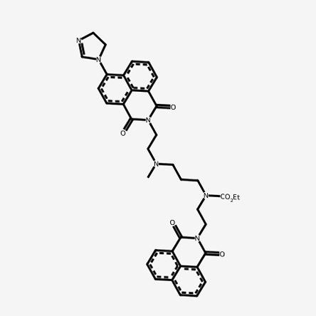 CCOC(=O)N(CCCN(C)CCN1C(=O)c2cccc3c(N4C=NCC4)ccc(c23)C1=O)CCN1C(=O)c2cccc3cccc(c23)C1=O